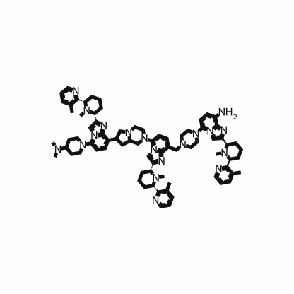 Cc1cccnc1[C@@H]1CCC[C@H](c2cn3c(N4CCN(Cc5ccc(N6CCN7CC(c8ccc(N9CCC(N(C)C)CC9)n9cc([C@H]%10CCC[C@@H](c%11ncccc%11C)N%10C)nc89)CC7C6)n6cc([C@H]7CCC[C@@H](c8ncccc8C)N7C)nc56)CC4)ccc(N)c3n2)N1C